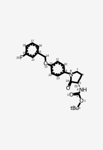 CC(C)(C)OC(=O)N[C@H]1CCN(c2ccc(OCc3cccc(F)c3)cc2)C1=O